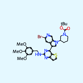 COc1cc(CNc2nc(-c3cn(C4CCCN(C(=O)OC(C)(C)C)C4)c4cnc(Br)cc34)c3sccc3n2)cc(OC)c1OC